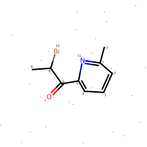 Cc1cccc(C(=O)C(C)Br)n1